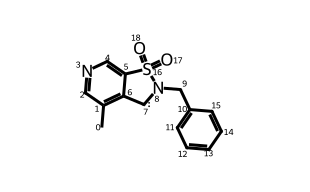 Cc1cncc2c1[C]N(Cc1ccccc1)S2(=O)=O